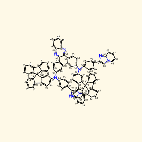 c1ccc2c(c1)-c1ccccc1C21c2ccccc2-c2ccc(N(c3ccc(-c4cn5ccccc5n4)cc3)c3ccc(-c4nc5ccccc5nc4-c4ccc(N(c5ccc(-c6cn7ccccc7n6)cc5)c5ccc6c(c5)C5(c7ccccc7-c7ccccc75)c5ccccc5-6)cc4)cc3)cc21